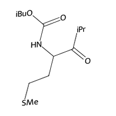 CSCCC(NC(=O)OCC(C)C)C(=O)C(C)C